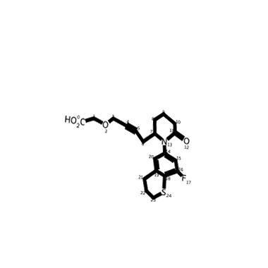 O=C(O)COCC#CCC1CCCC(=O)N1c1cc(F)c2c(c1)CCCS2